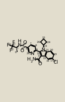 C[C@H](NS(=O)(=O)c1ccc(-c2c(C(N)=O)c3cc(Cl)ccc3n2C2CCC2)nc1)C(F)(F)F